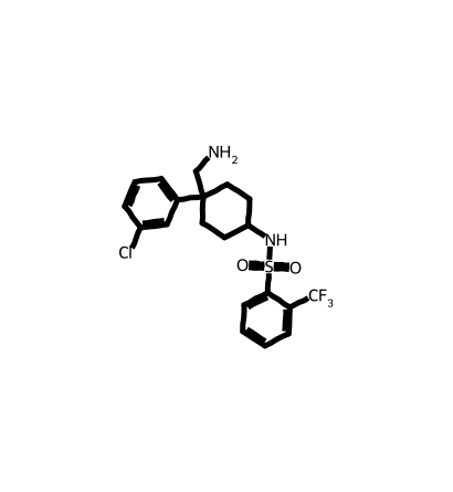 NCC1(c2cccc(Cl)c2)CCC(NS(=O)(=O)c2ccccc2C(F)(F)F)CC1